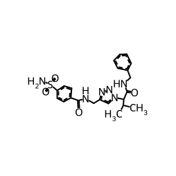 CC(C)C(C(=O)NCc1ccccc1)n1cc(CNC(=O)c2ccc(S(N)(=O)=O)cc2)nn1